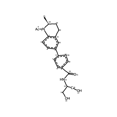 CC(=O)N1c2ccc(-c3ccc(C(=O)NC(CO)CO)cn3)cc2CC[C@@H]1C